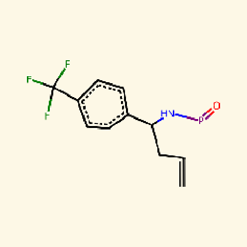 C=CCC(NP=O)c1ccc(C(F)(F)F)cc1